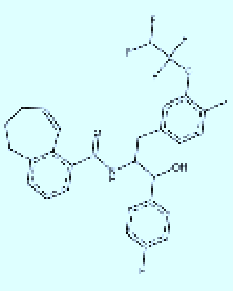 Cc1ccc(CC(NC(=O)c2cccc3c2C=CCCC3)C(O)c2ccc(F)cc2)cc1OC(F)(F)C(F)F